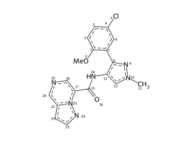 COc1ccc(Cl)cc1-c1nn(C)cc1NC(=O)c1cncc2ccnn12